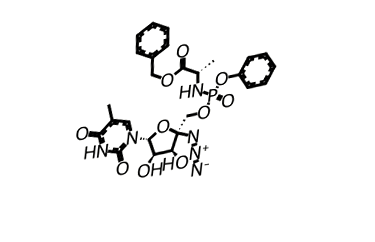 Cc1cn([C@@H]2O[C@@](COP(=O)(N[C@@H](C)C(=O)OCc3ccccc3)Oc3ccccc3)(N=[N+]=[N-])[C@@H](O)[C@H]2O)c(=O)[nH]c1=O